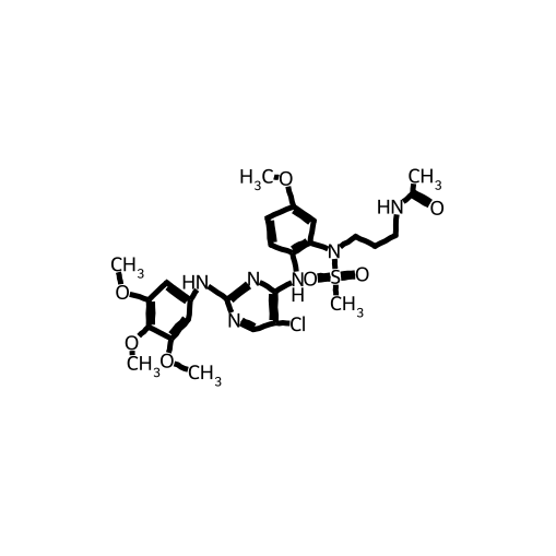 COc1ccc(Nc2nc(Nc3cc(OC)c(OC)c(OC)c3)ncc2Cl)c(N(CCCNC(C)=O)S(C)(=O)=O)c1